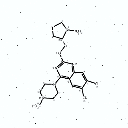 CN1CCC[C@H]1COc1nc(N2CCN(C(=O)O)CC2)c2cc(C#N)c(Cl)cc2n1